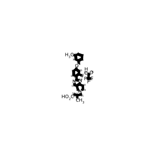 Cc1cccc(COc2ccc(-c3ncc4c(n3)CCN(CC(C)CC(=O)O)C4)c(F)c2)c1.O=C(O)C(F)(F)F